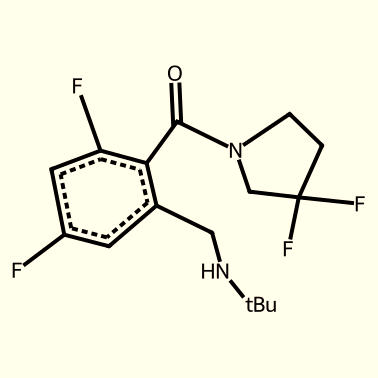 CC(C)(C)NCc1cc(F)cc(F)c1C(=O)N1CCC(F)(F)C1